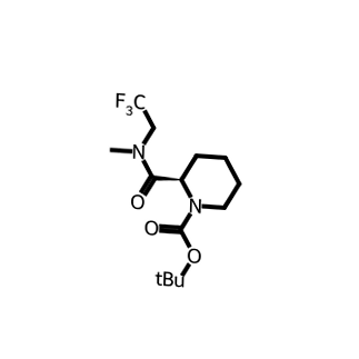 CN(CC(F)(F)F)C(=O)[C@H]1CCCCN1C(=O)OC(C)(C)C